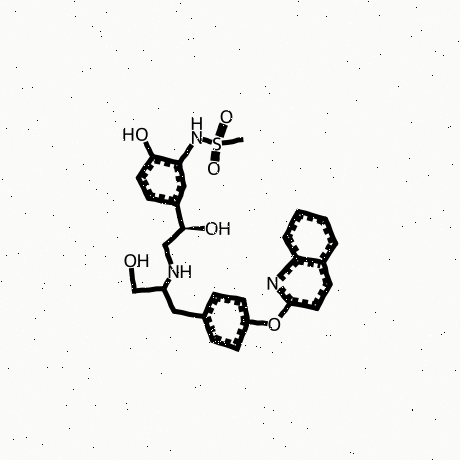 CS(=O)(=O)Nc1cc([C@@H](O)CNC(CO)Cc2ccc(Oc3ccc4ccccc4n3)cc2)ccc1O